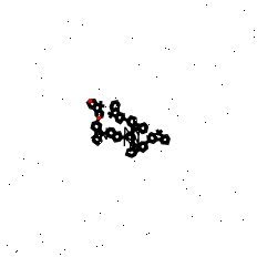 CC1(C)c2ccccc2-c2cc(-c3ccc4c5ccccc5n(-c5ccc6cc(-c7nc(-n8c9ccccc9c9ccc(-c%10ccc%11c(c%10)-c%10ccccc%10C%11(C)C)cc98)nc(-n8c9ccccc9c9ccc(-c%10ccc%11c(c%10)-c%10ccccc%10C%11(C)C)cc98)n7)ccc6c5)c4c3)ccc21